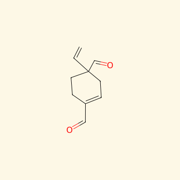 C=CC1(C=O)CC=C(C=O)CC1